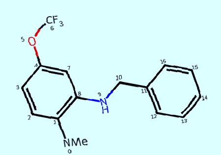 CNc1ccc(OC(F)(F)F)cc1NCc1ccccc1